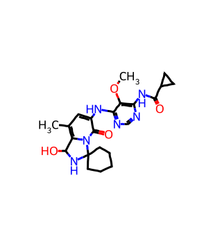 COc1c(NC(=O)C2CC2)ncnc1Nc1cc(C)c2n(c1=O)C1(CCCCC1)NC2O